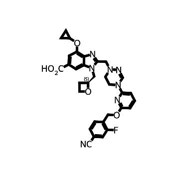 N#Cc1ccc(COc2cccc(N3C=NN(Cc4nc5c(OC6CC6)cc(C(=O)O)cc5n4C[C@@H]4CCO4)CC3)n2)c(F)c1